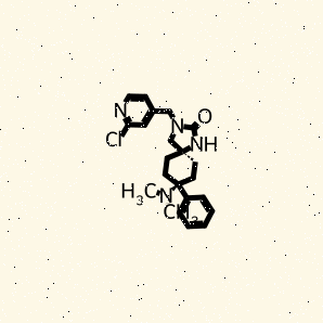 CN(C)[C@]1(c2ccccc2)CC[C@]2(CC1)CN(Cc1ccnc(Cl)c1)C(=O)N2